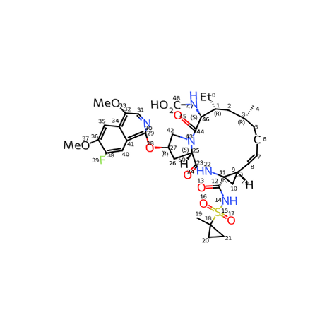 CC[C@@H]1C[C@H](C)CCC=C[C@@H]2C[C@@]2(C(=O)NS(=O)(=O)C2(C)CC2)NC(=O)[C@@H]2C[C@@H](Oc3ncc(OC)c4cc(OC)c(F)cc34)CN2C(=O)[C@H]1NC(=O)O